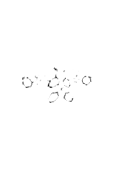 C/C=C\c1cc(C2(c3ccc(OS(=O)(=O)c4ccccc4)c(/C=C\C)c3)c3ccccc3-c3ccccc32)ccc1OS(=O)(=O)c1ccccc1